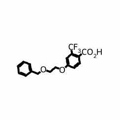 O=C(O)c1ccc(OCCOCc2ccccc2)cc1C(F)(F)F